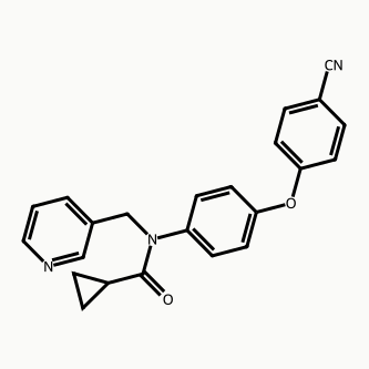 N#Cc1ccc(Oc2ccc(N(Cc3cccnc3)C(=O)C3CC3)cc2)cc1